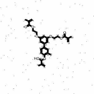 C=C(C)C(=O)OCCOc1cc(OCCOC(=O)C(=C)C)cc(-c2ccc(OC(O)C(=C)C)c(F)c2)c1